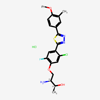 Cc1cc(-c2nnc(-c3cc(F)c(OC[C@H](N)[C@H](C)O)cc3Cl)s2)ccc1OC(C)C.Cl